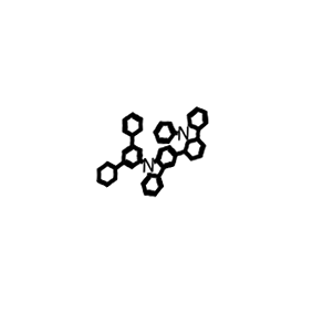 C1=CCC(c2cc(C3CCCCC3)cc(-n3c4ccccc4c4cc(C5CC=CC6C7C=CC=CC7N(c7ccccc7)C56)ccc43)c2)C=C1